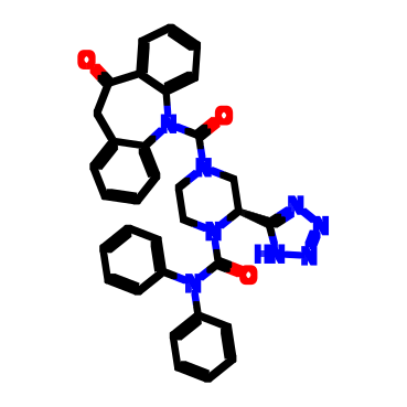 O=C1Cc2ccccc2N(C(=O)N2CCN(C(=O)N(c3ccccc3)c3ccccc3)[C@H](c3nnn[nH]3)C2)c2ccccc21